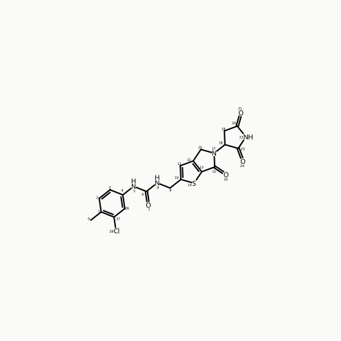 Cc1ccc(NC(=O)NCc2cc3c(s2)C(=O)N(C2CC(=O)NC2=O)C3)cc1Cl